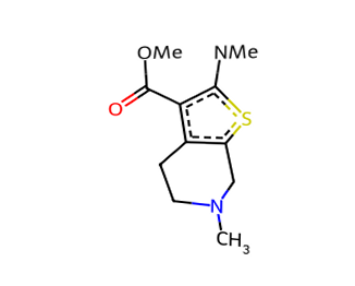 CNc1sc2c(c1C(=O)OC)CCN(C)C2